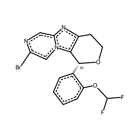 FC(F)Oc1ccccc1[C@H]1OCCc2nc3cnc(Br)cn3c21